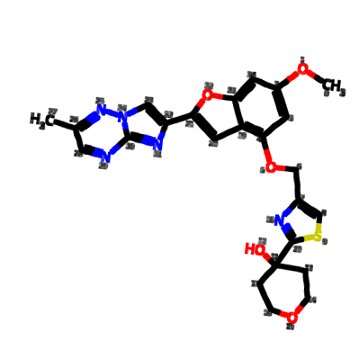 COc1cc(OCc2csc(C3(O)CCOCC3)n2)c2cc(-c3cn4nc(C)cnc4n3)oc2c1